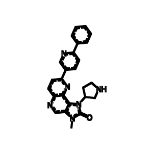 Cn1c(=O)n(C2CCNC2)c2c3nc(-c4ccc(-c5ccccc5)nc4)ccc3ncc21